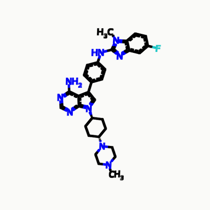 CN1CCN([C@H]2CC[C@H](n3cc(-c4ccc(Nc5nc6cc(F)ccc6n5C)cc4)c4c(N)ncnc43)CC2)CC1